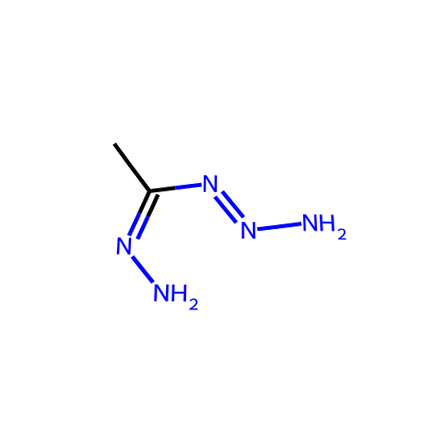 CC(N=NN)=NN